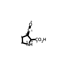 O=C=C1CCNC1C(=O)O